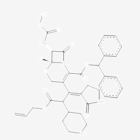 C=CCOC(=O)C(C(=C1CCNC1=O)C1=C(C(=O)OC(c2ccccc2)c2ccccc2)N2C(=O)[C@@H](NC(=O)OC(C)(C)C)[C@H]2SC1)C1CCNCC1